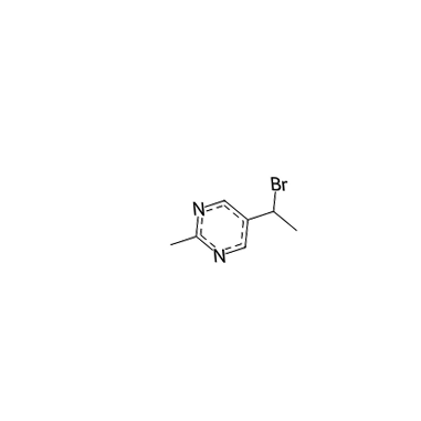 Cc1ncc(C(C)Br)cn1